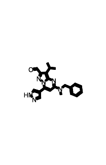 CC(C)c1c(C=O)nn2c(-c3cn[nH]c3)cc(N(C)Cc3ccccc3)nc12